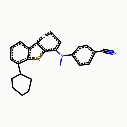 N#Cc1ccc(N(I)c2cccc3c2sc2c(C4CCCCC4)cccc23)cc1